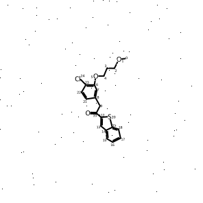 COCCCOc1cc(CC(=O)c2cc3ccccc3s2)ccc1Cl